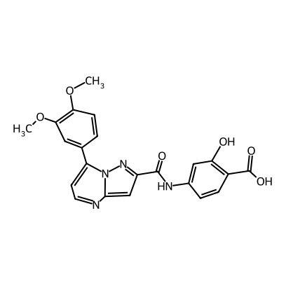 COc1ccc(-c2ccnc3cc(C(=O)Nc4ccc(C(=O)O)c(O)c4)nn23)cc1OC